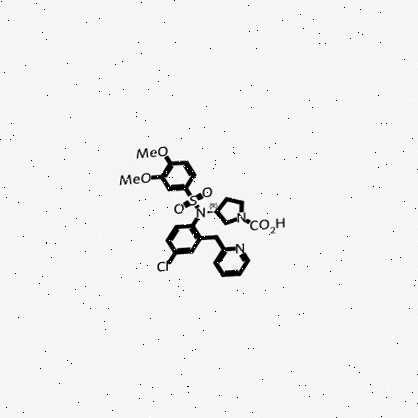 COc1ccc(S(=O)(=O)N(c2ccc(Cl)cc2Cc2ccccn2)[C@@H]2CCN(C(=O)O)C2)cc1OC